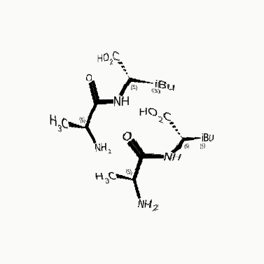 CC[C@H](C)[C@H](NC(=O)[C@H](C)N)C(=O)O.CC[C@H](C)[C@H](NC(=O)[C@H](C)N)C(=O)O